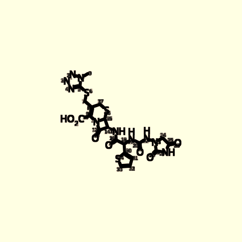 Cn1nnnc1SCC1=C(C(=O)O)N2C(=O)[C@H](NC(=O)C(NC(=O)NN3CC(=O)NC3=O)c3cccs3)C2SC1